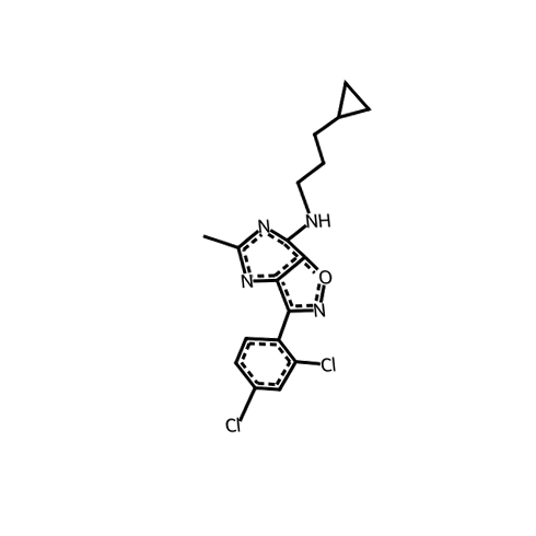 Cc1nc(NCCCC2CC2)c2onc(-c3ccc(Cl)cc3Cl)c2n1